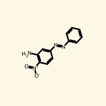 Nc1cc(N=Nc2ccccc2)ccc1[N+](=O)[O-]